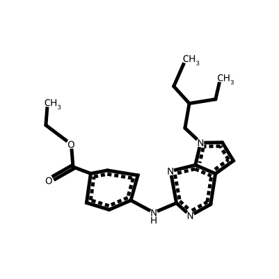 CCOC(=O)c1ccc(Nc2ncc3ccn(CC(CC)CC)c3n2)cc1